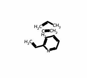 C=C.C=CC.C=Cc1ccccn1